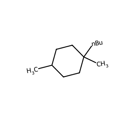 CCCCC1(C)CCC(C)CC1